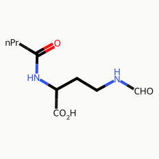 [CH2]CCC(=O)NC(CCNC=O)C(=O)O